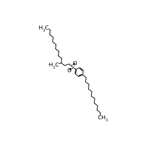 [CH2]C(CCCCCCCCCC)CCS(=O)(=O)c1ccc(CCCCCCCCCCCC)cc1